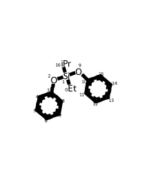 CC[Si](Oc1ccccc1)(Oc1ccccc1)C(C)C